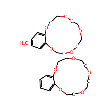 O.c1ccc2c(c1)OCCOCCOCCOCCO2.c1ccc2c(c1)OCCOCCOCCOCCO2